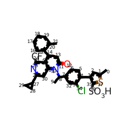 Cc1cc(-c2ccc(C(C)n3c(=O)cc(-c4ccccc4C)c4c(C(F)(F)F)nc(C5CC5)cc43)cc2Cl)c(S(=O)(=O)O)s1